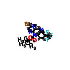 CC(C)(C)OC(=O)N(c1ccc(C(F)(F)F)cc1)c1ncc(Br)nc1C#N